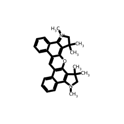 CN1CC(C)(C)c2c3c(c4ccccc4c21)C=c1c(c2c(c4ccccc14)=[N+](C)CC2(C)C)O3